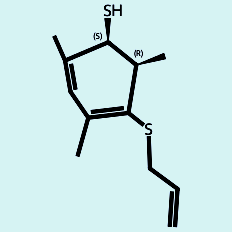 C=CCSC1=C(C)C=C(C)[C@@H](S)[C@H]1C